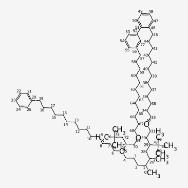 CC(CCCOCCCCCCCCCCCCCCc1ccccc1)C(C)CC(CCOCCCCCCCCCCCCCc1ccccc1-c1cccc(CCCCCCCCCCCCOCCCC(C)(C)C)c1)C(C)(C)C